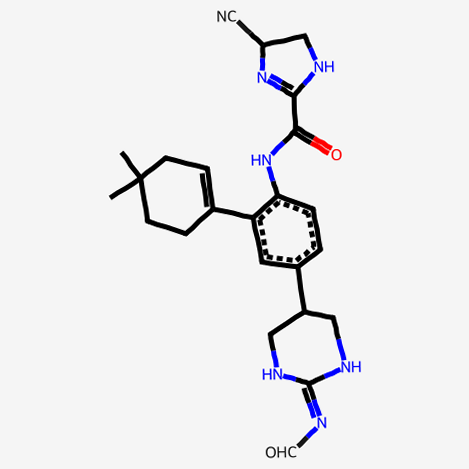 CC1(C)CC=C(c2cc(C3CNC(=NC=O)NC3)ccc2NC(=O)C2=NC(C#N)CN2)CC1